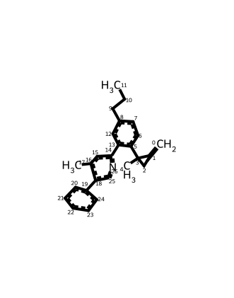 C=C1CC1(C)c1ccc(CCC)cc1-c1cc(C)c(-c2ccccc2)cn1